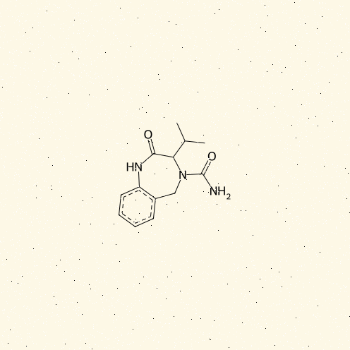 CC(C)C1C(=O)Nc2ccccc2CN1C(N)=O